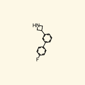 Fc1ccc(-c2cccc(C3CNC3)c2)cc1